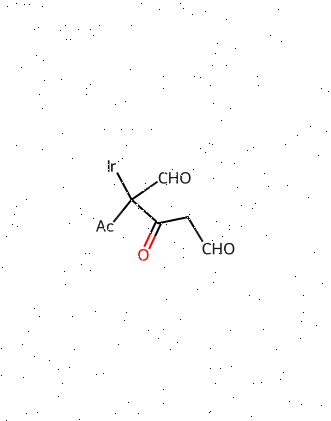 CC(=O)[C]([Ir])(C=O)C(=O)CC=O